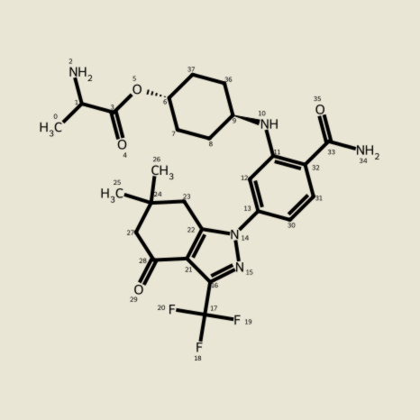 CC(N)C(=O)O[C@H]1CC[C@H](Nc2cc(-n3nc(C(F)(F)F)c4c3CC(C)(C)CC4=O)ccc2C(N)=O)CC1